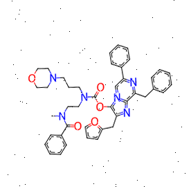 CN(CCN(CCCN1CCOCC1)C(=O)Oc1c(Cc2ccco2)nc2c(Cc3ccccc3)nc(-c3ccccc3)cn12)C(=O)c1ccccc1